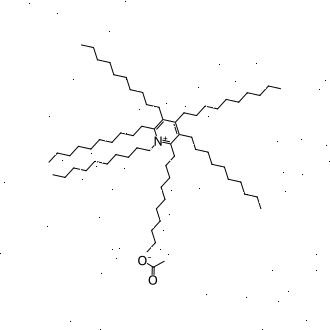 CC(=O)[O-].CCCCCCCCCCc1c(CCCCCCCCCC)c(CCCCCCCCCC)[n+](CCCCCCCCCC)c(CCCCCCCCCC)c1CCCCCCCCCC